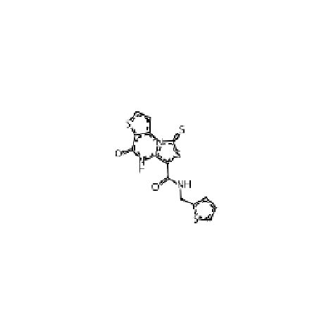 O=C(NCc1cccs1)c1sc(=S)n2c1[nH]c(=O)c1sccc12